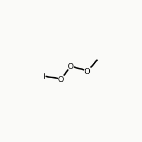 COOOI